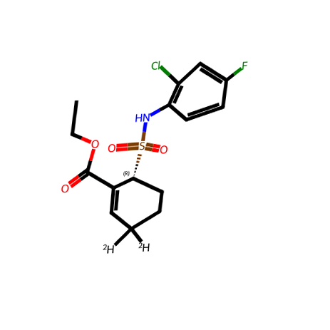 [2H]C1([2H])C=C(C(=O)OCC)[C@H](S(=O)(=O)Nc2ccc(F)cc2Cl)CC1